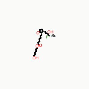 CCCCC(F)C(O)C=C[C@H]1CCC(=O)[C@@H]1CC/C=C/CCC(=O)OCCCCCCO